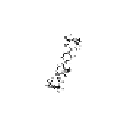 CC1(C)CC(c2ccc(-c3ccc(C4CC(C)(C)NC(C)(C)C4)c(F)c3F)cc2)CC(C)(C)N1